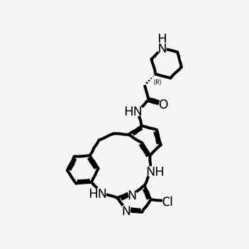 O=C(C[C@H]1CCCNC1)Nc1ccc2cc1CCc1cccc(c1)Nc1ncc(Cl)c(n1)N2